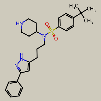 CC(C)(C)c1ccc(S(=O)(=O)N(CCCc2cc(-c3ccccc3)n[nH]2)C2CCNCC2)cc1